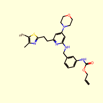 C=CCOC(=O)Nc1cccc(CNc2cc(N3CCOCC3)cc(CCc3nc(C)c(CCC)s3)n2)c1